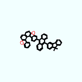 CC1(C)c2ccccc2-c2cc(-c3c4ccccc4c(-c4ccc5c(c4)oc4ccc6ccc7oc8ccccc8c7c6c45)c4ccccc34)ccc21